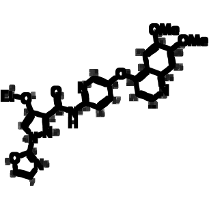 CCOc1cn(-c2ncco2)nc1C(=O)Nc1ccc(Oc2ccnc3cc(OC)c(OC)cc23)cn1